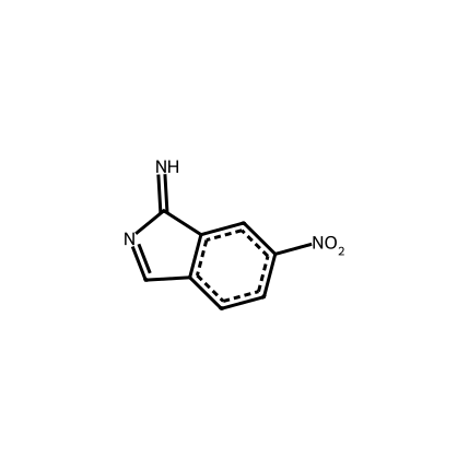 N=C1N=Cc2ccc([N+](=O)[O-])cc21